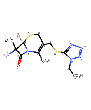 COC1(N)C(=O)N2C(C(=O)O)=C(CSc3nnnn3CC(=O)O)CS[C@@H]21